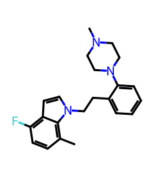 Cc1ccc(F)c2ccn(CCc3ccccc3N3CCN(C)CC3)c12